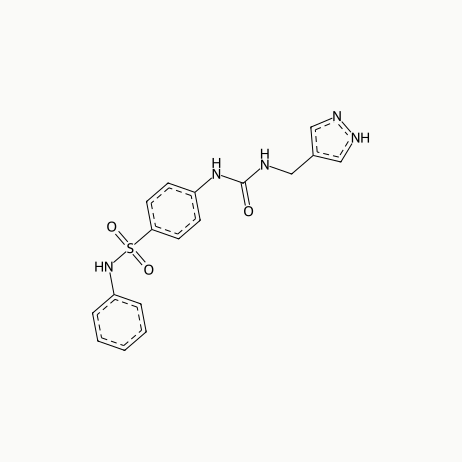 O=C(NCc1cn[nH]c1)Nc1ccc(S(=O)(=O)Nc2ccccc2)cc1